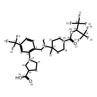 CN(Cc1ccc(C(F)(F)F)cc1N1CCC(C(=O)O)C1)C1(C)CCN(C(=O)OC(C(F)(F)F)C(F)(F)F)CC1